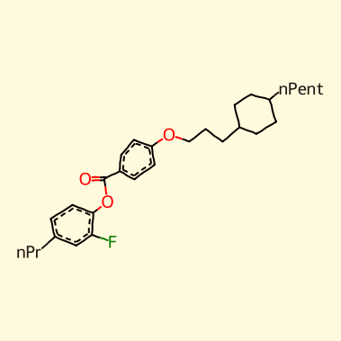 CCCCCC1CCC(CCCOc2ccc(C(=O)Oc3ccc(CCC)cc3F)cc2)CC1